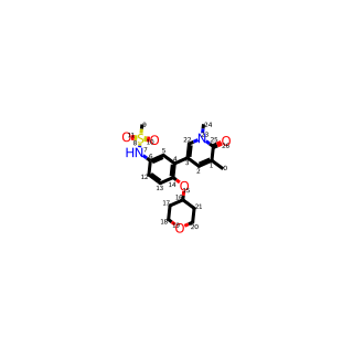 Cc1cc(-c2cc(NS(C)(=O)=O)ccc2OC2CCOCC2)cn(C)c1=O